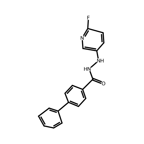 O=C(NNc1ccc(F)nc1)c1ccc(-c2ccccc2)cc1